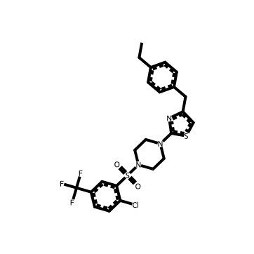 CCc1ccc(Cc2csc(N3CCN(S(=O)(=O)c4cc(C(F)(F)F)ccc4Cl)CC3)n2)cc1